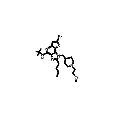 CCCCc1nc2c(NC(C)(C)C)nc3cc(Br)sc3c2n1CC1CCN(CCOC)CC1